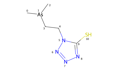 C[As](C)CCn1nnnc1S